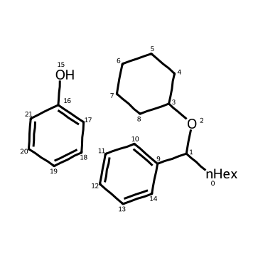 CCCCCCC(OC1CCCCC1)c1ccccc1.Oc1ccccc1